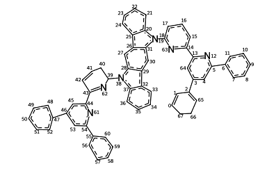 C1=CC(c2cc(-c3ccccc3)nc(-c3cccc(-n4c5ccccc5c5cc6c(cc54)c4ccccc4n6C4CC=CC(c5cc(-c6ccccc6)cc(-c6ccccc6)n5)=N4)n3)c2)=CCC1